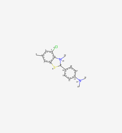 Cc1cc(Cl)c2c(c1)SC(c1ccc(N(C)C)cc1)N2C